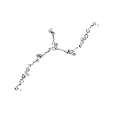 CCCCCC1CCC(c2ccc(OC(=O)c3ccc(OCCCCCCOC(C=O)CC(=O)OCCCCCCOc4ccc(OCCCCCCOC(=O)CC(C=O)OCCCCCCOc5ccc(C(=O)Oc6ccc(C7CCC(CCCCC)CC7)cc6)cc5)c(C(=O)OCCCCCCOC5CCCCO5)c4)cc3)cc2)CC1